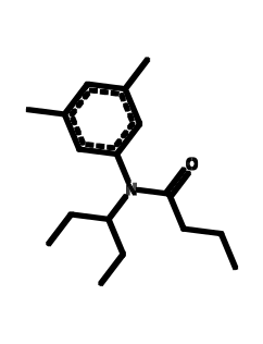 CCCC(=O)N(c1cc(C)cc(C)c1)C(CC)CC